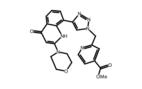 COC(=O)c1ccnc(Cn2cc(-c3cccc4c(=O)cc(N5CCOCC5)[nH]c34)nn2)c1